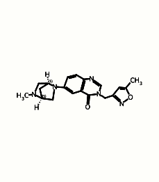 Cc1cc(Cn2cnc3ccc(N4C[C@@H]5C[C@H]4CN5C)cc3c2=O)no1